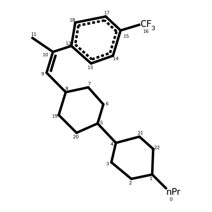 CCCC1CCC(C2CCC(C=C(C)c3ccc(C(F)(F)F)cc3)CC2)CC1